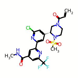 C=CC(=O)N1CCN(S(C)(=O)=O)[C@H](c2cc(Cl)nc(-c3cc(C(=O)NC)cc(C(F)(F)F)n3)c2)C1